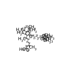 CC(C=CC=C(C)c1cc2c(cc1OCCCCCO[Si](C)(C)C(C)(C)C)C(C)(C)CCC2(C)C)=CC(=O)O